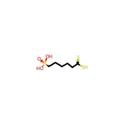 O=P(O)(O)CCCCCC(=S)S